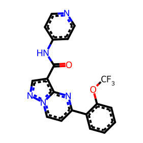 O=C(Nc1ccncc1)c1cnn2ccc(-c3ccccc3OC(F)(F)F)nc12